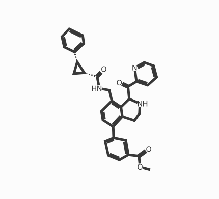 COC(=O)c1cccc(-c2ccc(CNC(=O)[C@@H]3C[C@@H]3c3ccccc3)c3c2CCNC3C(=O)c2ccccn2)c1